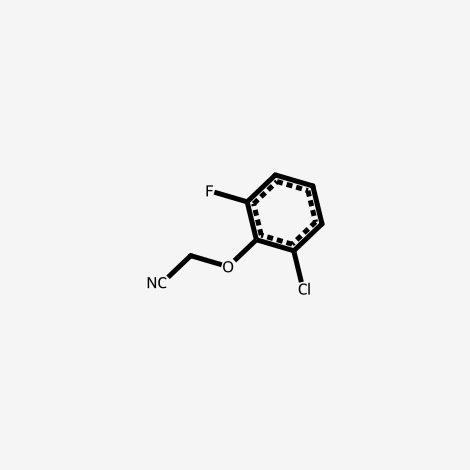 N#CCOc1c(F)cccc1Cl